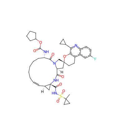 CC1(S(=O)(=O)NC(=O)[C@@]23C[C@H]2/C=C\CCCCC[C@H](NC(=O)OC2CCCC2)C(=O)N2C[C@@]4(CCc5c(c(C6CC6)nc6ccc(F)cc56)O4)C[C@H]2C(=O)N3)CC1